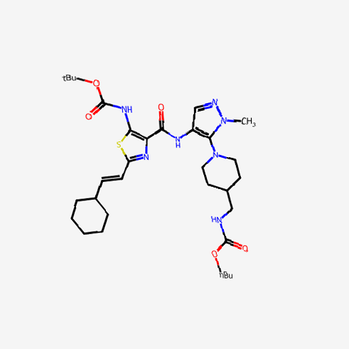 CCCCOC(=O)NCC1CCN(c2c(NC(=O)c3nc(/C=C/C4CCCCC4)sc3NC(=O)OC(C)(C)C)cnn2C)CC1